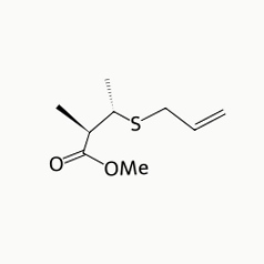 C=CCS[C@@H](C)[C@H](C)C(=O)OC